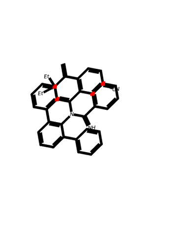 C=C1c2ccc(C#N)cc2C(N(C(=N)c2ccccc2)c2c(-c3ccccc3)cccc2-c2ccccc2)=NC1(CC)CC